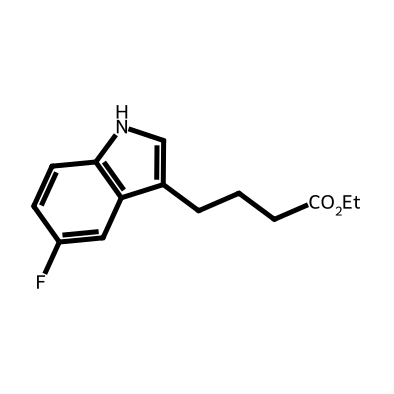 CCOC(=O)CCCc1c[nH]c2ccc(F)cc12